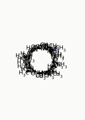 C/C=C/C[C@@H](C)[C@@H](O)[C@H]1C(=O)N(C)[C@@H](CC)C(=O)N(C)[C@H](CO)C(=O)N(C)[C@@H](CC(C)(C)O)C(=O)N[C@@H](C(C)C)C(=O)N(C)[C@@H](CC(C)C)C(=O)N[C@@H](C)C(=O)N[C@H](C)C(=O)N(C)[C@@H](CC(C)C)C(=O)N(C)[C@@H](CC(C)C)C(=O)N(C)[C@@H](C(C)C)C(=O)N1C